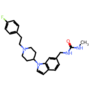 CNC(=O)NCc1ccc2ccn(C3CCN(CCc4ccc(F)cc4)CC3)c2c1